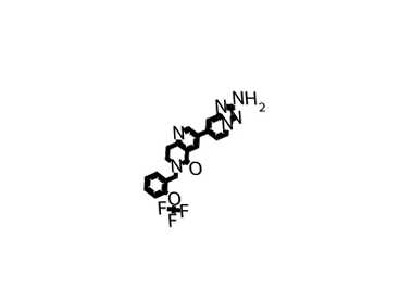 Nc1nc2cc(-c3cnc4c(c3)C(=O)N(Cc3ccccc3OC(F)(F)F)CC4)ccn2n1